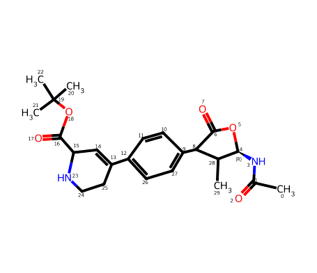 CC(=O)N[C@@H]1OC(=O)C(c2ccc(C3=CC(C(=O)OC(C)(C)C)NCC3)cc2)C1C